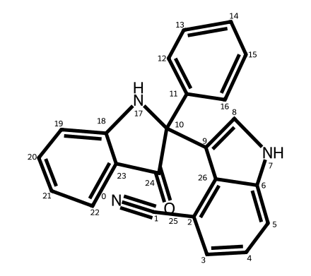 N#Cc1cccc2[nH]cc(C3(c4ccccc4)Nc4ccccc4C3=O)c12